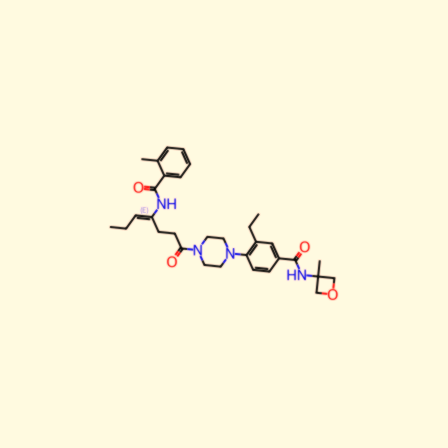 CC/C=C(\CCC(=O)N1CCN(c2ccc(C(=O)NC3(C)COC3)cc2CC)CC1)NC(=O)c1ccccc1C